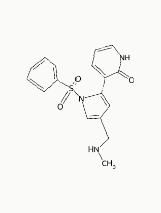 CNCc1cc(-c2ccc[nH]c2=O)n(S(=O)(=O)c2ccccc2)c1